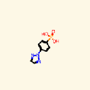 O=P(O)(O)c1ccc(-n2nccn2)cc1